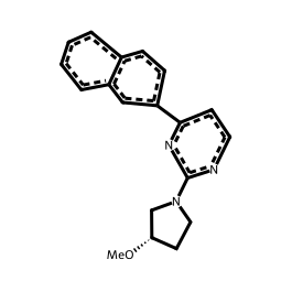 CO[C@H]1CCN(c2nccc(-c3ccc4ccccc4c3)n2)C1